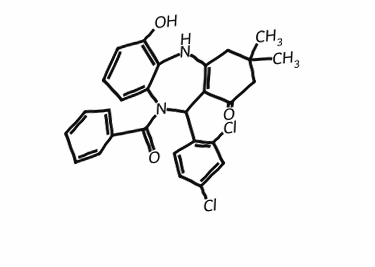 CC1(C)CC(=O)C2=C(C1)Nc1c(O)cccc1N(C(=O)c1ccccc1)C2c1ccc(Cl)cc1Cl